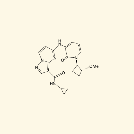 CO[C@@H]1CC[C@H]1n1cccc(Nc2ccn3ncc(C(=O)NC4CC4)c3n2)c1=O